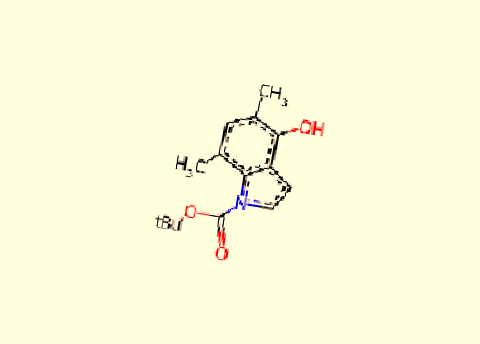 Cc1cc(C)c2c(ccn2C(=O)OC(C)(C)C)c1O